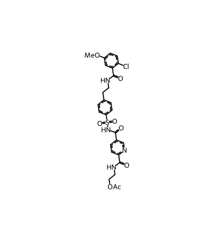 COc1ccc(Cl)c(C(=O)NCCc2ccc(S(=O)(=O)NC(=O)c3ccc(C(=O)NCCOC(C)=O)nc3)cc2)c1